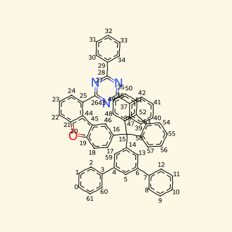 c1ccc(-c2cc(-c3ccccc3)cc(C3(c4ccc5oc6cccc(-c7nc(-c8ccccc8)nc(-c8ccccc8)n7)c6c5c4)c4ccccc4-c4ccccc43)c2)cc1